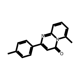 Cc1ccc(-c2cc(=O)n3c(C)cccc3n2)cc1